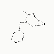 CC1CC2OC2CC1CC1CCCCC1